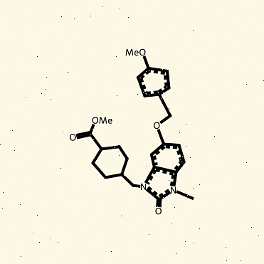 COC(=O)C1CCC(Cn2c(=O)n(C)c3ccc(OCc4ccc(OC)cc4)cc32)CC1